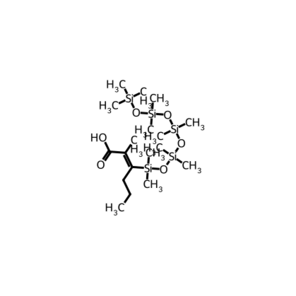 CCC/C(=C(/C)C(=O)O)[Si](C)(C)O[Si](C)(C)O[Si](C)(C)O[Si](C)(C)O[Si](C)(C)C